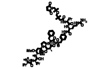 CC[C@H](C)[C@@H]([C@@H](CC(=O)N1CCC[C@H]1[C@H](OC)[C@@H](C)C(=O)N[C@@H](Cc1ccccc1)C(=O)NS(=O)(=O)Cc1ccc(NC(=O)[C@H](CCCNC(N)=O)NC(=O)[C@@H](NC(=O)CC(C)(C)COC(C)(C)CN2C(=O)C=CC2=O)C(C)C)cc1)OC)N(C)C(O)[C@@H](NC(=O)[C@H](C(C)C)N(C)C)C(C)C